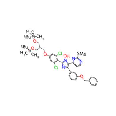 CSc1nccc(-c2c(-c3cccc(OCc4ccccc4)c3)nc(-c3c(Cl)cc(OCC(CO[Si](C)(C)C(C)(C)C)CO[Si](C)(C)C(C)(C)C)cc3Cl)n2O)n1